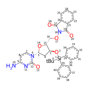 CC(C)(C)[Si](O[C@H]1C[C@H](n2ccc(N)nc2=O)O[C@@H]1CON1C(=O)c2ccccc2C1=O)(c1ccccc1)c1ccccc1